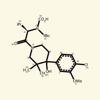 COc1cc(C2(O)CCN(C(=O)[C@@H](C(C)C)N(C(=O)O)C(C)(C)C)CC2(C)C)ccc1Cl